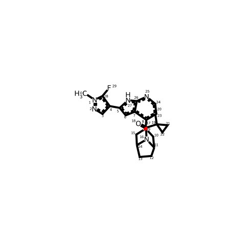 Cn1ncc(-c2cc3c(N4CC5CCC(C4)N5C(=O)C4(F)CC4)ccnc3[nH]2)c1F